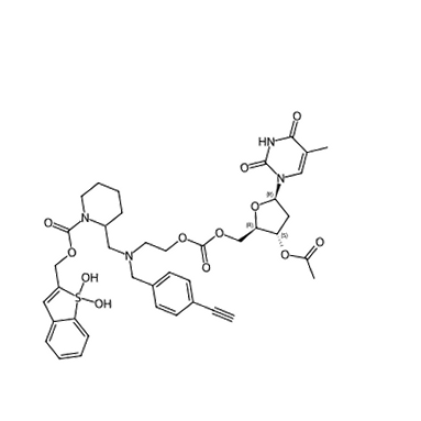 C#Cc1ccc(CN(CCOC(=O)OC[C@H]2O[C@@H](n3cc(C)c(=O)[nH]c3=O)C[C@@H]2OC(C)=O)CC2CCCCN2C(=O)OCC2=Cc3ccccc3S2(O)O)cc1